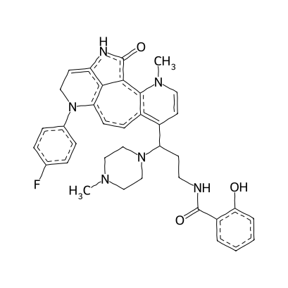 CN1CCN(C(CCNC(=O)c2ccccc2O)C2=c3ccc4c5c([nH]c(=O)c-5c3N(C)C=C2)=CCN4c2ccc(F)cc2)CC1